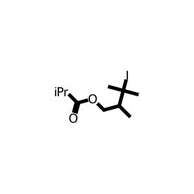 CC(C)C(=O)OCC(C)C(C)(C)I